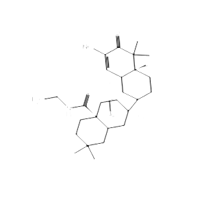 CC(=O)C[C@@H]1[C@@]2(C)C=C(C#N)C(=O)C(C)(C)[C@@H]2CC[C@@]1(C)[C@]1(C)CC[C@@]2(C(=O)NCC(F)(F)F)CCC(C)(C)CC2C1